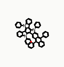 c1ccc(-c2c3ccccc3c(-c3ccccc3)c3cc4c(cc23)c2c3c(c5ccccc5n3-c3ccccc3)c3c(c5ccccc5n3-c3ccccc3)c2n4-c2ccccc2)cc1